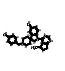 CC1CCc2ncnc(N3CC4(CCN(Cc5ccc(Cl)cc5)CC4)c4cc(Cl)ccc43)c21